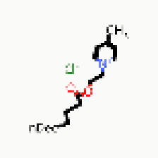 CCCCCCCCCCCCCC(=O)OCC[n+]1ccc(C)cc1.[Cl-]